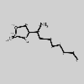 CCCCCCCC(N)C1COS(=O)O1